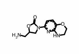 NCC1CN(c2ccc3c(n2)NCCO3)C(=O)O1